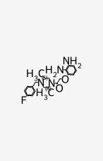 C[C@@H]1CN(Cc2ccc(F)cc2)[C@@H](C)CN1C(=O)COc1cccc(N)c1N